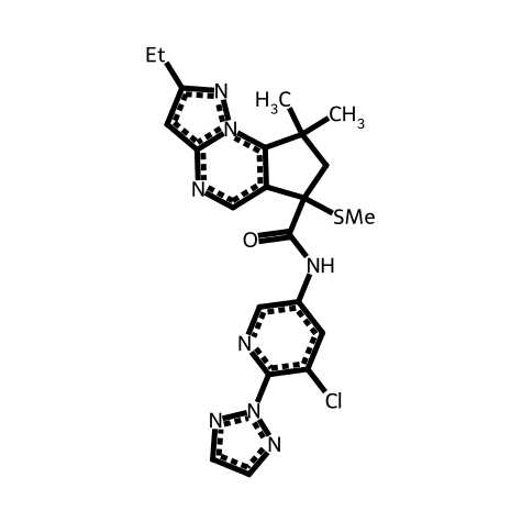 CCc1cc2ncc3c(n2n1)C(C)(C)CC3(SC)C(=O)Nc1cnc(-n2nccn2)c(Cl)c1